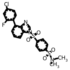 CN(C)S(=O)(=O)c1ccc(S(=O)(=O)n2cnc3c(-c4ccc(Cl)cc4F)cccc32)cc1